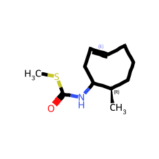 CSC(=O)NC1C/C=C/CCC[C@H]1C